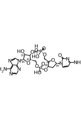 Nc1ccn([C@H]2C[C@@H](OP(=O)(O)OC[C@H]3O[C@@H](n4cnc5c(N)ncnc54)[C@@H](O)C3O)[C@@H](COP(=O)(O)O)O2)c(=O)n1